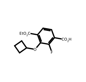 CCOC(=O)c1ccc(C(=O)O)c(F)c1OC1CCC1